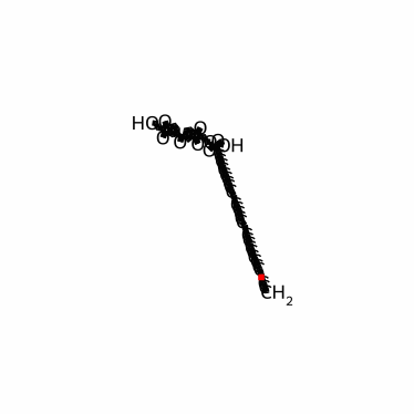 C=C=C=C=C=C=C=C=C=C=C=C=C=C=C=C=C=C=C=C=C=C=C=C=C=C=C=C=C=C=C=C=C=C(C(=O)O)C(=O)OCCC1C(=O)c2ccc(C(=O)c3ccc4c(c3)C(=O)C(CCO)C4=O)cc2C1=O